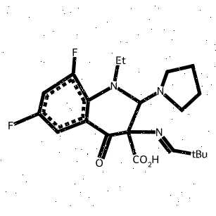 CCN1c2c(F)cc(F)cc2C(=O)C(N=CC(C)(C)C)(C(=O)O)C1N1CCCC1